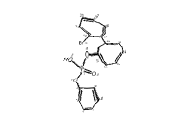 O=P(O)(Oc1ccccc1)Oc1ccccc1-c1ccccc1Br